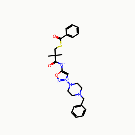 CC(C)(CSC(=O)c1ccccc1)C(=O)[N-]c1c[n+](N2CCN(Cc3ccccc3)CC2)no1